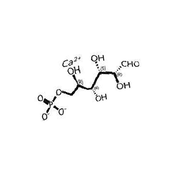 O=C[C@H](O)[C@@H](O)[C@H](O)[C@H](O)COP(=O)([O-])[O-].[Ca+2]